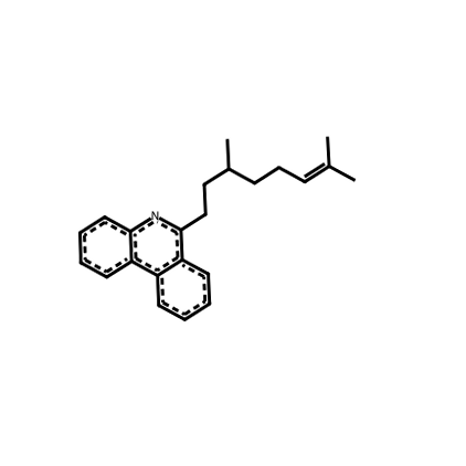 CC(C)=CCCC(C)CCc1nc2ccccc2c2ccccc12